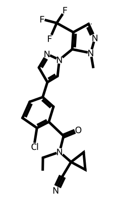 CCN(C(=O)c1cc(-c2cnn(-c3c(C(F)(F)F)[c]nn3C)c2)ccc1Cl)C1(C#N)CC1